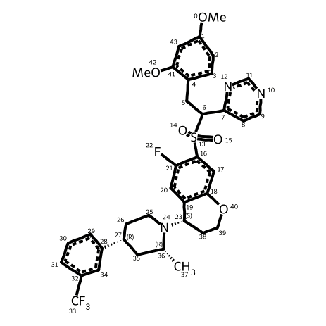 COc1ccc(CC(c2ccncn2)S(=O)(=O)c2cc3c(cc2F)[C@@H](N2CC[C@@H](c4cccc(C(F)(F)F)c4)C[C@H]2C)CCO3)c(OC)c1